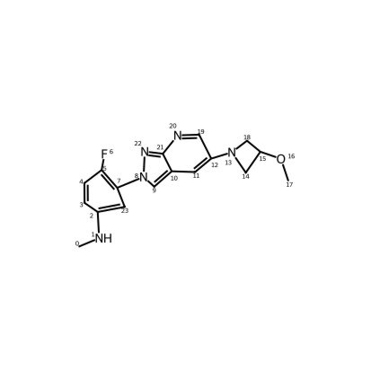 CNc1ccc(F)c(-n2cc3cc(N4CC(OC)C4)cnc3n2)c1